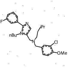 CCCCn1c(CN(CCC(C)C)Cc2ccc(OC)c(Cl)c2)cnc1-c1cccc(F)c1